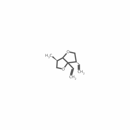 C=C[C@H]1COC2[C@H](C)COC21C=C